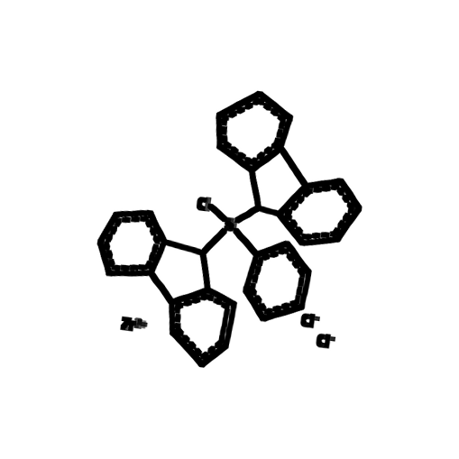 Cl[Si](c1ccccc1)(C1c2ccccc2-c2ccccc21)C1c2ccccc2-c2ccccc21.[Cl-].[Cl-].[Zr+2]